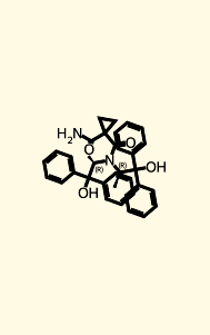 C[C@@H](N(C(=O)C1(C(N)=O)CC1)[C@H](C)C(O)(c1ccccc1)c1ccccc1)C(O)(c1ccccc1)c1ccccc1